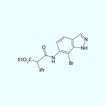 CCOC(=O)C(C(=O)Nc1ccc2cn[nH]c2c1Br)C(C)C